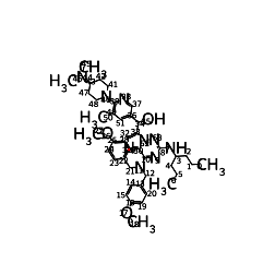 CCCC(CCC)Nc1nc(N(Cc2ccc(OC)cc2)Cc2ccc(OC)cc2)c2ncc(C(O)c3cnc(N4CCC(N(C)C)CC4)c(C)c3)n2n1